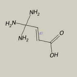 NC(N)(N)/C=C/C(=O)O